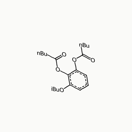 CCCCC(=O)Oc1cccc(OCC(C)C)c1OC(=O)CCCC